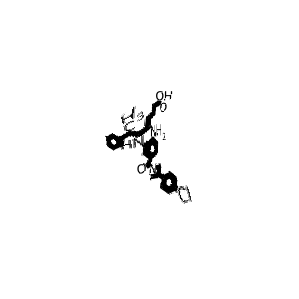 C[C@H](c1ccccc1)C(CCCCC(=O)O)Nc1cc(C(=O)N2CC(c3ccc(Cl)cc3)C2)ccc1N